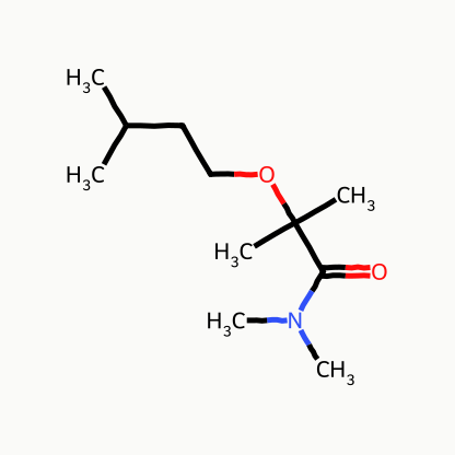 CC(C)CCOC(C)(C)C(=O)N(C)C